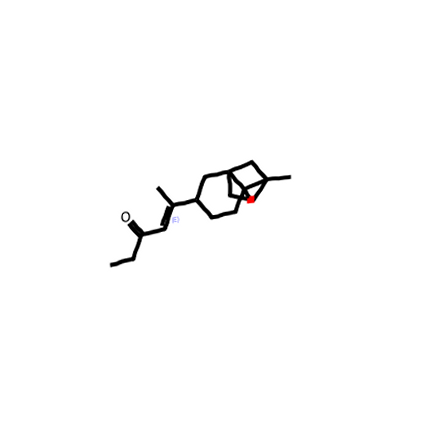 CCC(=O)/C=C(\C)C1CCC2(C)C3(C)CCC2(C1)C3